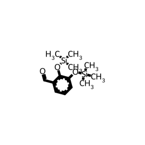 C[Si](C)(C)Oc1cccc(C=O)c1O[Si](C)(C)C